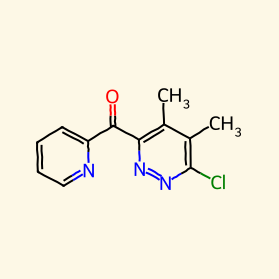 Cc1c(Cl)nnc(C(=O)c2ccccn2)c1C